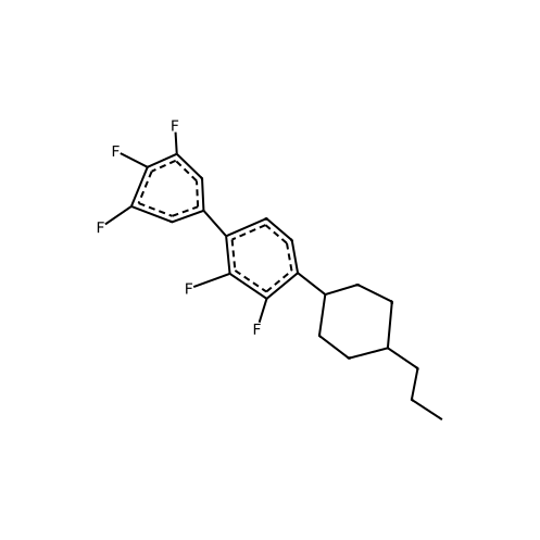 CCCC1CCC(c2ccc(-c3cc(F)c(F)c(F)c3)c(F)c2F)CC1